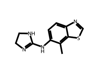 Cc1c(NC2=NCCN2)ccc2ncsc12